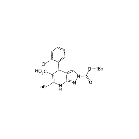 CCCC1=C(C(=O)O)C(c2ccccc2Cl)c2cn(C(=O)OC(C)(C)C)nc2N1